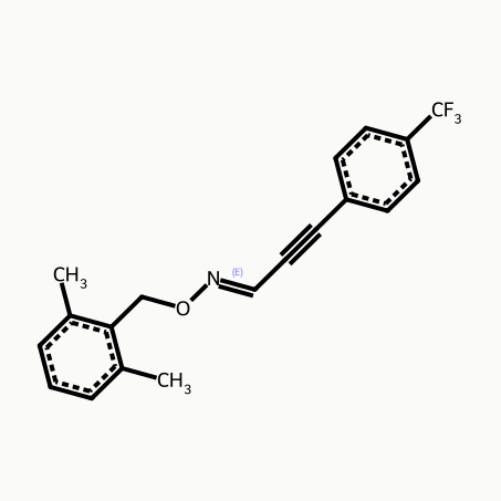 Cc1cccc(C)c1CO/N=C/C#Cc1ccc(C(F)(F)F)cc1